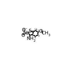 COc1ccc2c(N)c([N+](=O)[O-])sc2c1